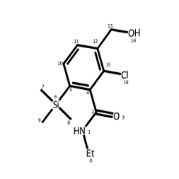 CCNC(=O)c1c([Si](C)(C)C)ccc(CO)c1Cl